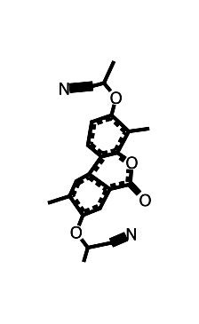 Cc1cc2c(cc1OC(C)C#N)c(=O)oc1c(C)c(OC(C)C#N)ccc12